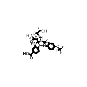 C[C@H](O)C(=O)NC(C(N)=O)C1(Nc2nc3ccc(OC(F)(F)F)cc3s2)Nc2cc(C(=O)O)ccc2N1C